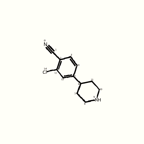 N#Cc1ccc(C2CCNCC2)cc1Cl